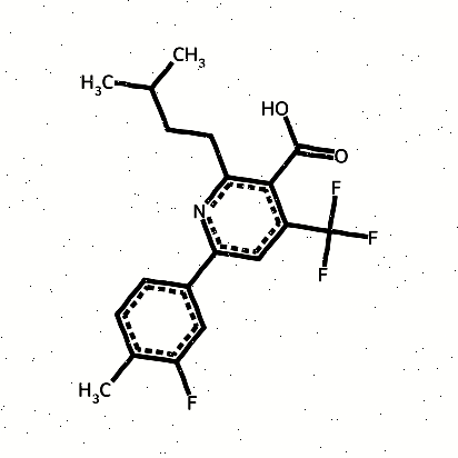 Cc1ccc(-c2cc(C(F)(F)F)c(C(=O)O)c(CCC(C)C)n2)cc1F